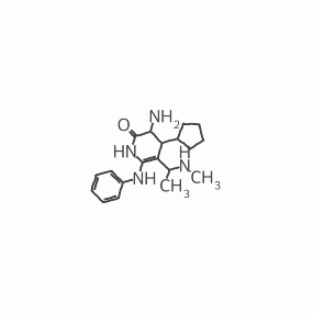 CNC(C)C1=C(Nc2ccccc2)NC(=O)C(N)C1C1CCCC1